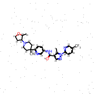 Cc1c(C(=O)Nc2ccc(C3(C#N)CCN(C4CCOC4C)CC3)nc2)cnn1-c1ccc(C(F)(F)F)cn1